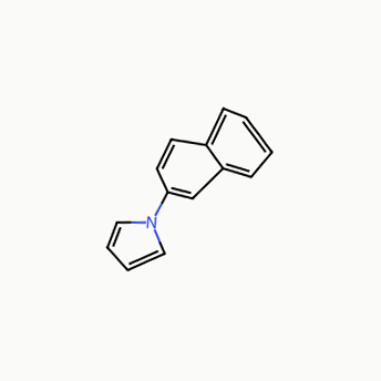 c1ccc2cc(-n3cccc3)ccc2c1